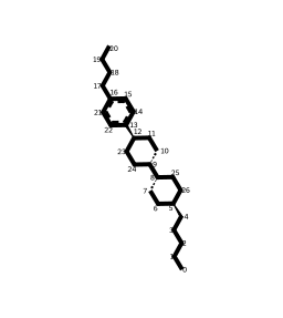 CCCCC[C@H]1CC[C@H]([C@H]2CC[C@H](c3ccc(CCCC)cc3)CC2)CC1